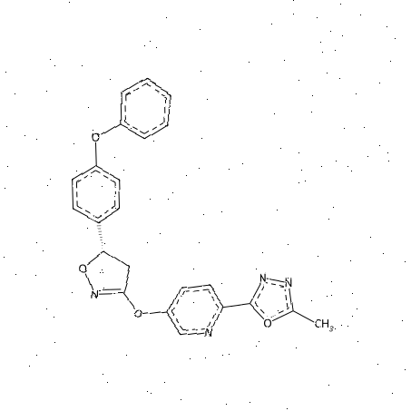 Cc1nnc(-c2ccc(OC3=NO[C@H](c4ccc(Oc5ccccc5)cc4)C3)cn2)o1